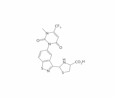 Cn1c(C(F)(F)F)cc(=O)n(-c2ccc3snc(C4NC(C(=O)O)CS4)c3c2)c1=O